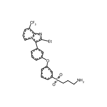 CCc1nc2c(C(F)(F)F)cccn2c1-c1cccc(Oc2cccc(S(=O)(=O)CCCN)c2)c1